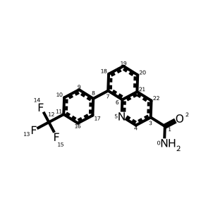 NC(=O)c1cnc2c(-c3ccc(C(F)(F)F)cc3)cccc2c1